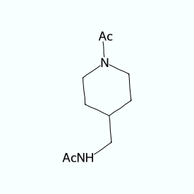 CC(=O)NCC1CCN(C(C)=O)CC1